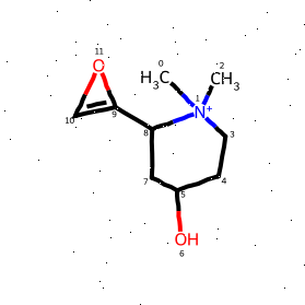 C[N+]1(C)CCC(O)CC1C1=CO1